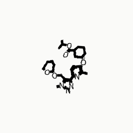 Cc1nc(-c2nnn(C)c2COC2CCCCO2)ccc1O[C@H]1CCCC(C(=O)OC(C)C)C1